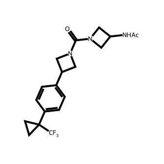 CC(=O)NC1CN(C(=O)N2CC(c3ccc(C4(C(F)(F)F)CC4)cc3)C2)C1